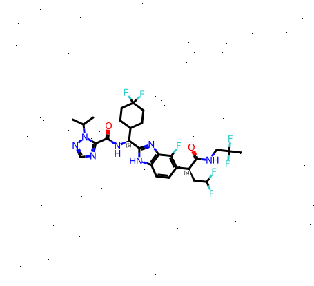 CC(C)n1ncnc1C(=O)N[C@H](c1nc2c(F)c([C@H](CC(F)F)C(=O)NCC(C)(F)F)ccc2[nH]1)C1CCC(F)(F)CC1